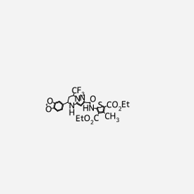 CCOC(=O)c1sc(NC(=O)c2cc3n(n2)C(C(F)(F)F)CC(c2ccc4c(c2)OCO4)N3)c(C(=O)OCC)c1C